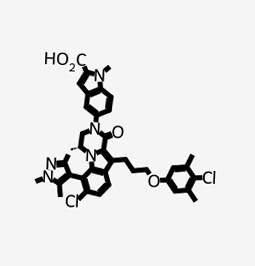 Cc1cc(OCCCc2c3n(c4c(-c5c(C)nn(C)c5C)c(Cl)ccc24)[C@H](C)CN(c2ccc4c(c2)cc(C(=O)O)n4C)C3=O)cc(C)c1Cl